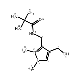 Cn1cc(CO)c(CNC(=O)C(C)(C)C)[n+]1C